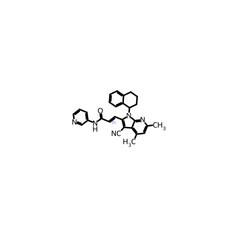 Cc1cc(C)c2c(C#N)c(/C=C/C(=O)Nc3cccnc3)n(C3CCCc4ccccc43)c2n1